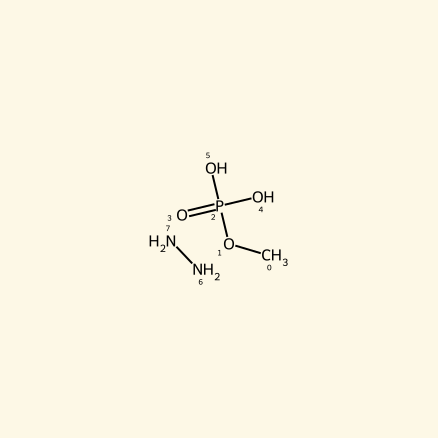 COP(=O)(O)O.NN